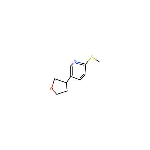 CSc1ccc(C2CCOC2)cn1